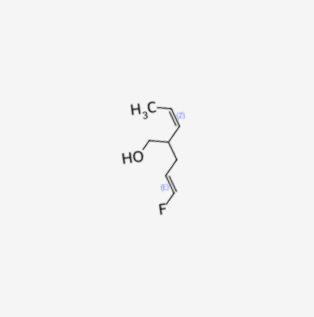 C/C=C\C(CO)C/C=C/F